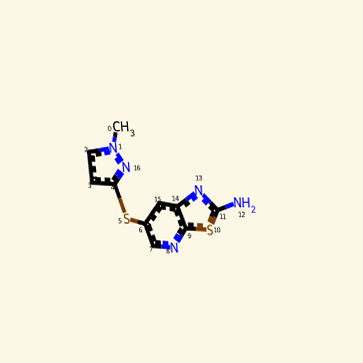 Cn1ccc(Sc2cnc3sc(N)nc3c2)n1